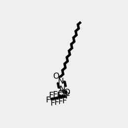 CCCCCCCCCCCCCCCCCC(=O)N1CCN(S(=O)(=O)C(F)(F)C(F)(F)C(F)(F)C(F)(F)F)CC1